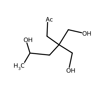 CC(=O)CC(CO)(CO)CC(C)O